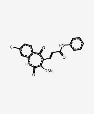 COc1c(/C=C/C(=O)Nc2ccccc2)c(=O)c2ccc(Cl)cc2[nH]c1=O